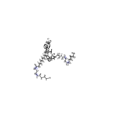 CCCCC/C=C\C/C=C\CCCCCCCCC(CO)(CCCCCCCC/C=C\C/C=C\CCCCC)CNC(=O)OC(C)(C)C